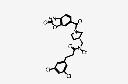 CCN(C[C@H]1CCN(C(=O)c2ccc3[nH]c(=O)oc3c2)C1)C(=O)CCc1cc(Cl)cc(Cl)c1